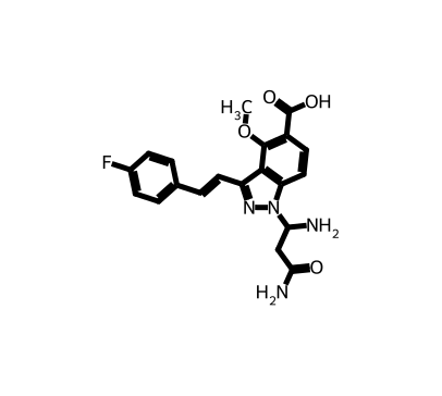 COc1c(C(=O)O)ccc2c1c(C=Cc1ccc(F)cc1)nn2C(N)CC(N)=O